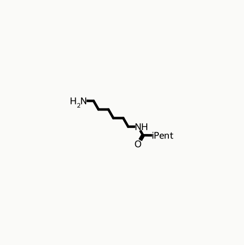 CCCC(C)C(=O)NCCCCCCN